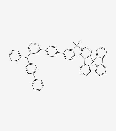 CC1(C)c2cc(-c3ccc(-c4cccc(N(c5ccccc5)c5ccc(-c6ccccc6)cc5)c4)cc3)ccc2-c2c1ccc1c2-c2ccccc2C12c1ccccc1-c1ccccc12